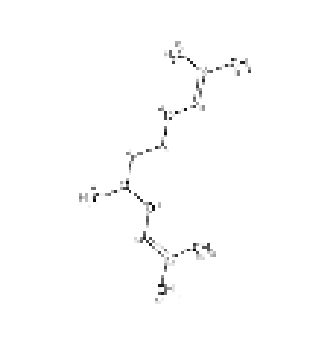 CC(C)=COCCC(C)OC=C(C)C